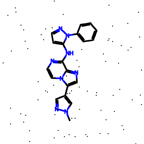 Cn1cc(-c2cnc3c(Nc4ccnn4-c4ccccc4)nccn23)cn1